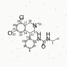 CCNC(=O)Nc1ccccc1[C@@H]1CN(C)Cc2c(Cl)cc(Cl)cc21